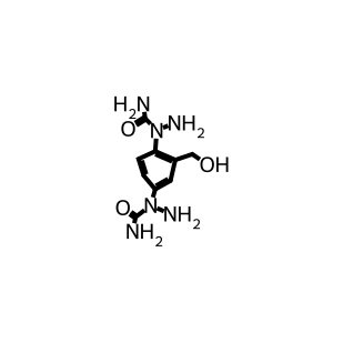 NC(=O)N(N)c1ccc(N(N)C(N)=O)c(CO)c1